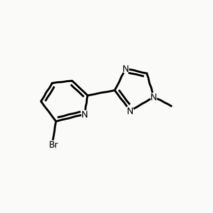 Cn1cnc(-c2cccc(Br)n2)n1